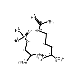 CCCCCCCCCC(CCCCCCC)COP(=O)(O)O.N=C(N)NCCCC(N)C(=O)O